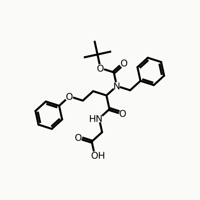 CC(C)(C)OC(=O)N(Cc1ccccc1)C(CCOc1ccccc1)C(=O)NCC(=O)O